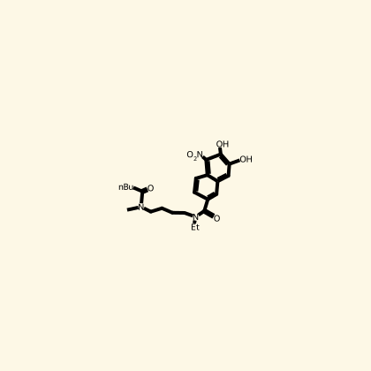 CCCCC(=O)N(C)CCCCN(CC)C(=O)c1ccc2c([N+](=O)[O-])c(O)c(O)cc2c1